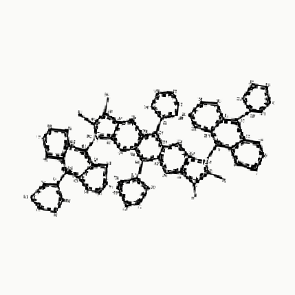 Cc1c(C)n(-c2c3ccccc3c(-c3ccccc3)c3ccccc23)c2cc3c(-c4ccccc4)c4cc5c(C)c(C)n(-c6c7ccccc7c(-c7ccccc7)c7ccccc67)c5cc4c(-c4ccccc4)c3cc12